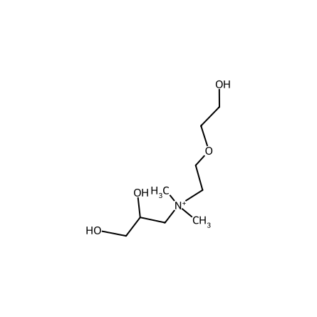 C[N+](C)(CCOCCO)CC(O)CO